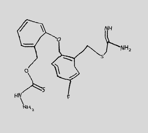 N=C(N)SCc1cc(F)ccc1Oc1ccccc1COC(=S)NN